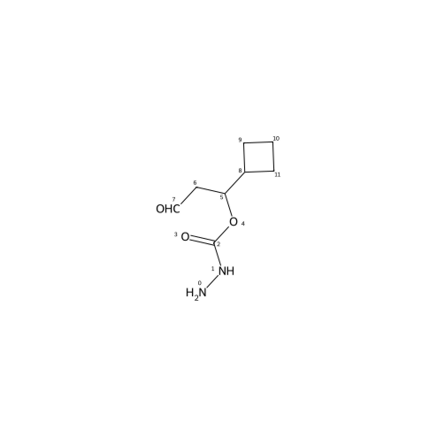 NNC(=O)OC(CC=O)C1CCC1